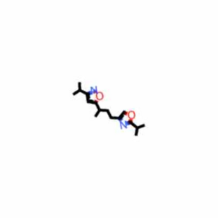 CC(C)c1cc(C(C)CCc2coc(C(C)C)n2)on1